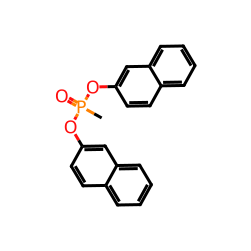 CP(=O)(Oc1ccc2ccccc2c1)Oc1ccc2ccccc2c1